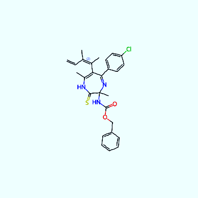 C=C/C(C)=C(/C)C1=C(C)NC(=S)C(C)(NC(=O)OCc2ccccc2)N=C1c1ccc(Cl)cc1